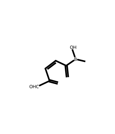 C=C(C=O)/C=C\C(=C)B(C)O